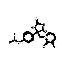 Cc1cccn(CC2(c3c#cc(OC(F)F)cc3)NC(=O)NC2=O)c1=O